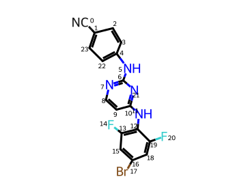 N#Cc1ccc(Nc2nccc(Nc3c(F)cc(Br)cc3F)n2)cc1